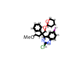 COCCC(COC1CCCCO1)(c1ccccc1)c1nc(Cl)nc2ccc(I)cc12